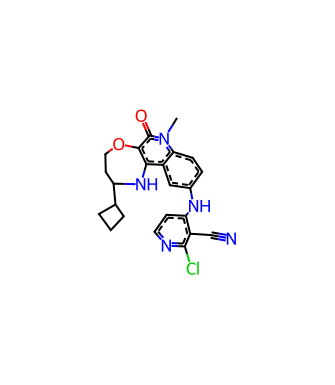 Cn1c(=O)c2c(c3cc(Nc4ccnc(Cl)c4C#N)ccc31)NC(C1CCC1)CCO2